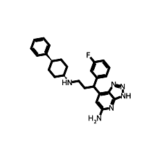 Nc1cc(C(CCN[C@H]2CC[C@H](c3ccccc3)CC2)c2cccc(F)c2)c2nn[nH]c2n1